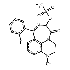 CN1CCN2C(=O)C(OS(C)(=O)=O)N=C(c3ccccc3F)c3cccc1c32